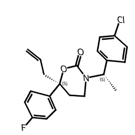 C=CC[C@@]1(c2ccc(F)cc2)CCN([C@@H](C)c2ccc(Cl)cc2)C(=O)O1